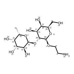 C[C@@H]1O[C@@H](O[C@H]2[C@H](OCCN)O[C@H](CO)[C@H](O)[C@@H]2O)[C@@H](O)[C@H](O)[C@@H]1O